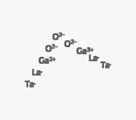 [Ga+3].[Ga+3].[La].[La].[O-2].[O-2].[O-2].[Ta].[Ta]